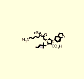 C/C=C/C(C)(C)C[C@H]1[C@H](C(=O)O)[C@@H](c2ccc3c(c2)CCO3)CN1CC(=O)N(CCCC)CCCCN